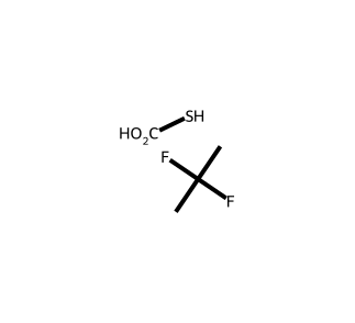 CC(C)(F)F.O=C(O)S